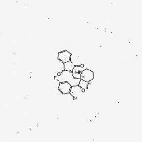 C[C@@H]1CCCN[C@@]1(CN1C(=O)c2ccccc2C1=O)C(=O)c1cc(F)ccc1Br